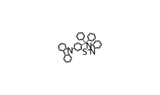 c1ccc(C2(c3ccccc3)c3ccc(-n4c5ccccc5c5ccccc54)cc3Sc3nc4ccccc4n32)cc1